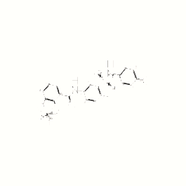 O=C(Nc1ccc(F)c(S(=O)(=O)Nc2ccc(Cl)cc2)c1)c1cccc2c1OC(F)(F)O2